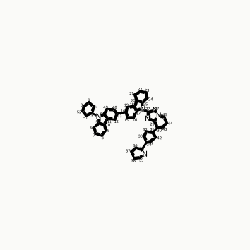 c1ccc(-n2c3ccccc3c3cc(-c4ccc5c(c4)c4ccccc4n5-c4nc5c(-c6ccc(-c7ccccn7)cc6)cccn5n4)ccc32)cc1